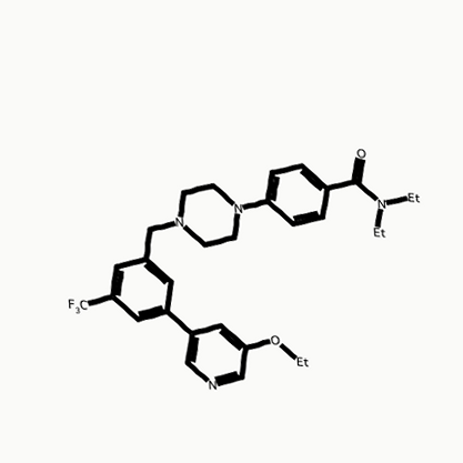 CCOc1cncc(-c2cc(CN3CCN(c4ccc(C(=O)N(CC)CC)cc4)CC3)cc(C(F)(F)F)c2)c1